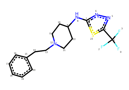 FC(F)(F)c1nnc(NC2CCN(CCc3ccccc3)CC2)s1